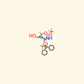 CC(C)(C)OC(=O)N[C@@H](CO[Si](c1ccccc1)(c1ccccc1)C(C)(C)C)[C@H]1[C@@H](CO)C1(C)C